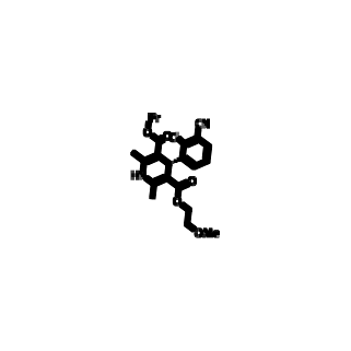 COCCOC(=O)C1=C(C)NC(C)=C(C(=O)OC(C)C)[C@@H]1c1cccc(C#N)c1Cl